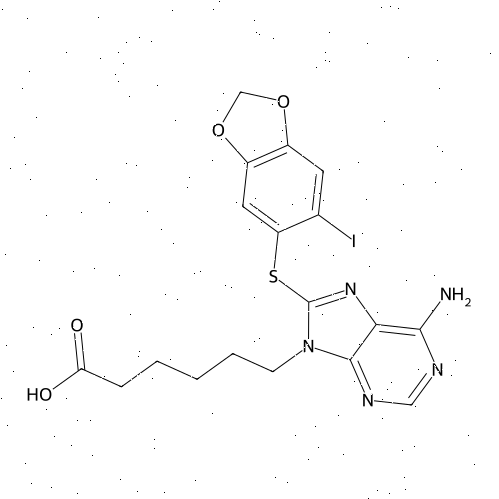 Nc1ncnc2c1nc(Sc1cc3c(cc1I)OCO3)n2CCCCCC(=O)O